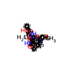 C=C[C@@H]1C[C@]1(NC(=O)[C@@H]1C[C@@H](Oc2cc(-c3ccccc3)nc3cc(OC)ccc23)CN1C(=O)C(NC(=O)OC1CCCC1)C(C)(C)C)P(=O)(O)Cc1ccccc1